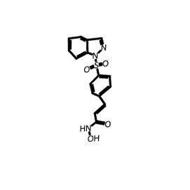 O=C(C=Cc1ccc(S(=O)(=O)n2ncc3ccccc32)cc1)NO